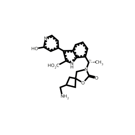 C[C@@H](c1cccc2c(-c3ccnc(O)c3)c(C(=O)O)[nH]c12)N1CC2(CC(CN)C2)OC1=O